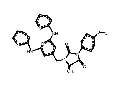 C=C1C(=O)N(c2ccc(OC(F)(F)F)cc2)C(=O)N1Cc1cc(Nc2ccccn2)nc(Nc2ccccn2)c1